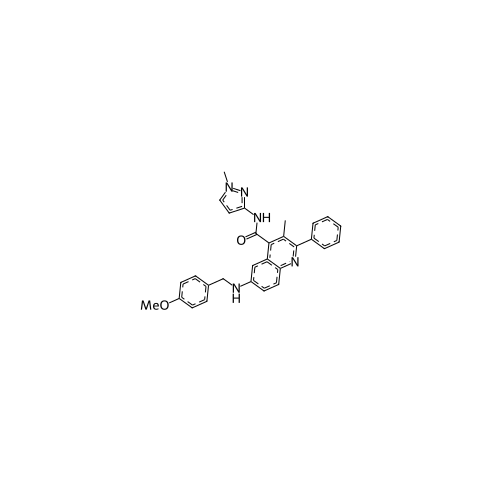 COc1ccc(CNc2ccc3nc(-c4ccccc4)c(C)c(C(=O)Nc4ccn(C)n4)c3c2)cc1